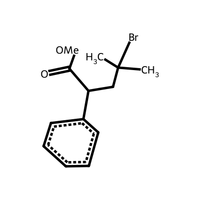 COC(=O)C(CC(C)(C)Br)c1ccccc1